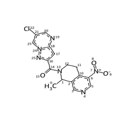 CC1c2cncc([N+](=O)[O-])c2CCN1C(=O)c1cc2ncc(Cl)cn2n1